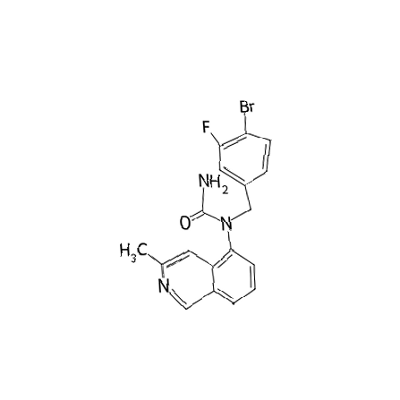 Cc1cc2c(N(Cc3ccc(Br)c(F)c3)C(N)=O)cccc2cn1